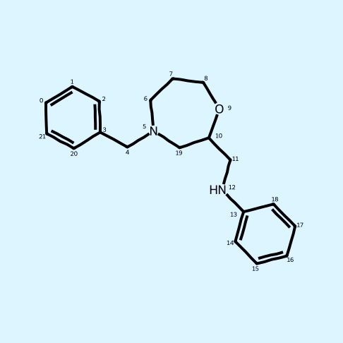 c1ccc(CN2CCCOC(CNc3ccccc3)C2)cc1